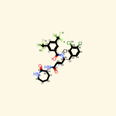 CN(C(=O)c1cc(C(F)(F)F)cc(C(F)(F)F)c1)[C@@H](/C=C/C(=O)N[C@@H]1CCCCNC1=O)Cc1ccc(Cl)c(Cl)c1